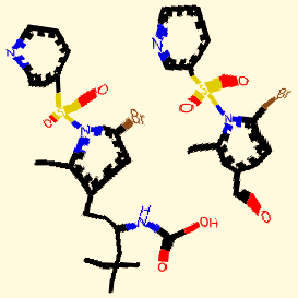 Cc1c(C=O)cc(Br)n1S(=O)(=O)c1cccnc1.Cc1c(CC(NC(=O)O)C(C)(C)C)cc(Br)n1S(=O)(=O)c1cccnc1